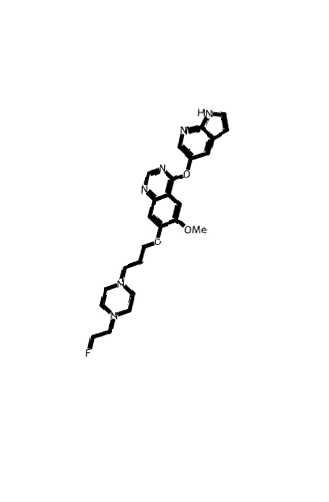 COc1cc2c(Oc3cnc4[nH]ccc4c3)ncnc2cc1OCCCN1CCN(CCF)CC1